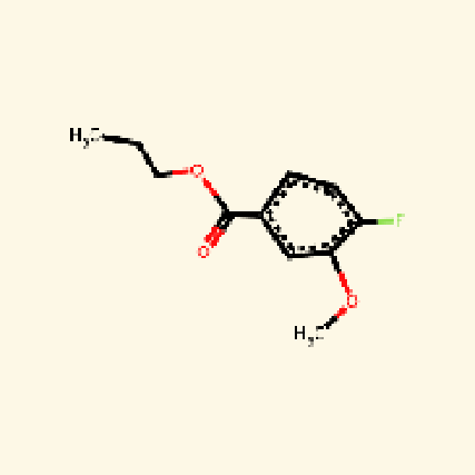 CCCOC(=O)c1ccc(F)c(OC)c1